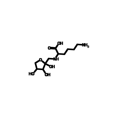 NCCCCC(NCC1(O)OCC(O)C1O)C(=O)O